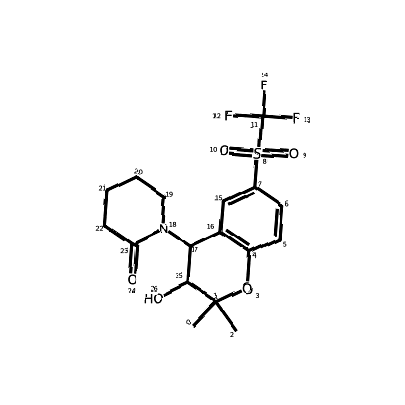 CC1(C)Oc2ccc(S(=O)(=O)C(F)(F)F)cc2C(N2CCCCC2=O)C1O